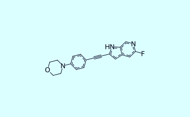 Fc1cc2cc(C#Cc3ccc(N4CCOCC4)cc3)[nH]c2cn1